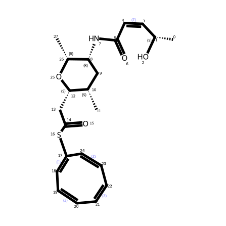 C[C@H](O)/C=C\C(=O)N[C@@H]1C[C@H](C)[C@H](CC(=O)SC2=C/C=C\C=C/C=C\2)O[C@@H]1C